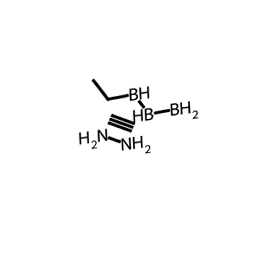 BBBCC.C#C.NN